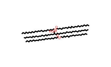 CCCCCCCCCCCCCCCCCCCCCC(=O)OCCCCCCCCCCCCCCCCCC.CCCCCCCCCCCCCCCCCCCCCCC(CCCCCCCCCCCCCCCCCCCC)C(=O)O.CCCCCCCCCCCCCCCCCCCCCCOC(=O)CCCCCCCCCCCCCCCCCCCCC